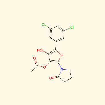 CC(=O)Oc1c(N2CCCC2=O)oc(-c2cc(Cl)cc(Cl)c2)c1O